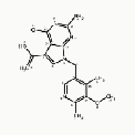 C=C(O)c1cn(Cc2cnc(C)c(OC)c2C)c2nc(N)nc(Cl)c12